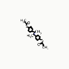 C=CC(=O)Sc1ccc(/C(C)=C(\C)c2ccc(SC(=O)C=C)cc2)cc1